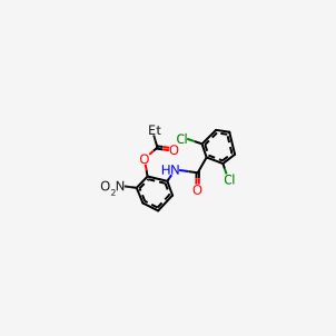 CCC(=O)Oc1c(NC(=O)c2c(Cl)cccc2Cl)cccc1[N+](=O)[O-]